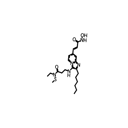 CCCCCCc1nc2cc(C=CC(=O)NO)ccn2c1NCCC(=O)N(CC)SC